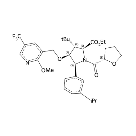 CCOC(=O)[C@@H]1[C@@H](C(C)(C)C)[C@H](OCc2cc(C(F)(F)F)cnc2OC)[C@H](c2cccc(C(C)C)c2)N1C(=O)[C@@H]1CCCO1